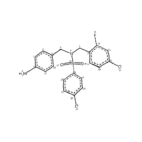 Nc1ccc(CN(Cc2ccc(Cl)cc2F)S(=O)(=O)c2ccc(Cl)cc2)cc1